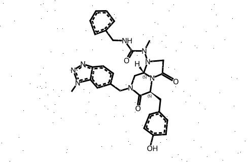 CN(C(=O)NCc1ccccc1)N1CC(=O)N2[C@@H](Cc3ccc(O)cc3)C(=O)N(Cc3ccc4nnn(C)c4c3)C[C@@H]21